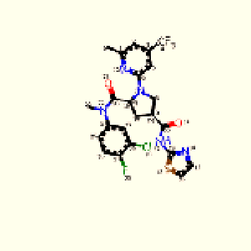 Cc1cc(C(F)(F)F)cc(N2C[C@@H](C(=O)Nc3nccs3)C[C@H]2C(=O)N(C)c2ccc(F)c(Cl)c2)n1